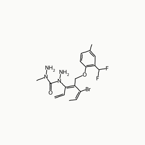 C=C/C(=C(COc1ccc(C)cc1C(F)F)\C(Br)=C/C)N(N)C(=O)N(C)N